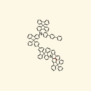 c1ccc(-c2ccc(-c3ccc(N(c4ccc5c(c4)-c4ccccc4C5(c4ccccc4)c4ccc(-c5ccc6c(c5)-c5ccccc5C65c6ccccc6-c6c(N(c7ccc8c(c7)-c7ccccc7C8(c7ccccc7)c7ccccc7)c7ccccc7-c7ccccc7)cccc65)cc4)c4cccc5c4-c4ccccc4C54c5ccccc5-c5ccccc54)cc3)cc2)cc1